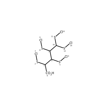 O=C(O)C(SCl)C(SCl)C(SCl)C(SCl)SCl